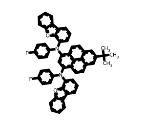 CC(C)(C)c1cc2ccc3c(N(c4ccc(F)cc4)c4cccc5c4oc4ccccc45)cc(N(c4ccc(F)cc4)c4cccc5c4oc4ccccc45)c4ccc(c1)c2c34